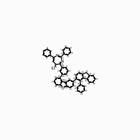 CCC1C=C(c2ccccc2)N=C(c2ccccc2)N=C1c1cccc(-c2cccc3oc4ccc(-c5ccc6c(c5-c5ccccc5)-c5ccccc5C6)cc4c23)c1